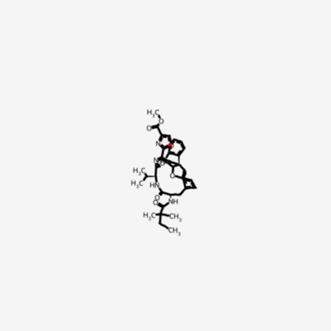 CCC(C)(C)C(=O)N[C@H]1Cc2ccc3c(c2)[C@@]2(c4ccccc4NC2O3)c2oc(nc2-c2nc(C(=O)OC)co2)[C@H](C(C)C)NC1=O